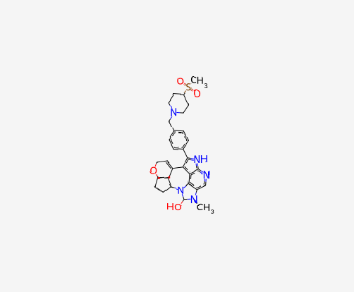 CN1c2cnc3[nH]c(-c4ccc(CN5CCC(S(C)(=O)=O)CC5)cc4)c(C4=CCOCC4)c3c2N(C2CCCC2)C1O